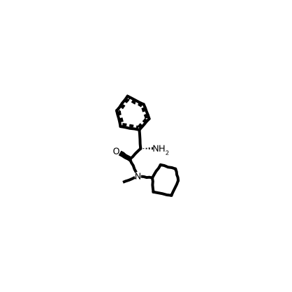 CN(C(=O)[C@@H](N)c1ccccc1)C1CCCCC1